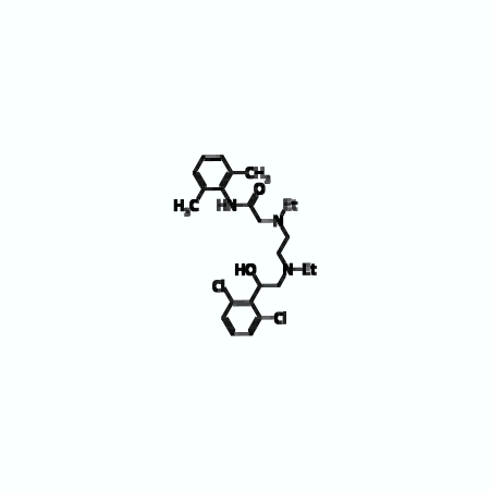 CCN(CCN(CC)CC(O)c1c(Cl)cccc1Cl)CC(=O)Nc1c(C)cccc1C